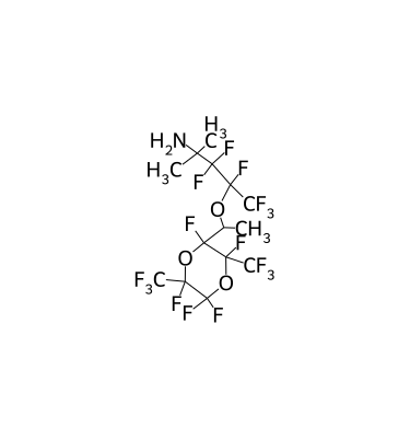 CC(OC(F)(C(F)(F)F)C(F)(F)C(C)(C)N)C1(F)OC(F)(C(F)(F)F)C(F)(F)OC1(F)C(F)(F)F